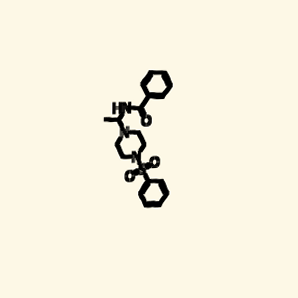 CC(NC(=O)c1ccccc1)N1CCN(S(=O)(=O)c2ccccc2)CC1